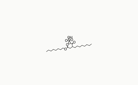 CCCCCCCCOC(=O)CC(CCCCCCCC)C(=O)OS(=O)(=O)O